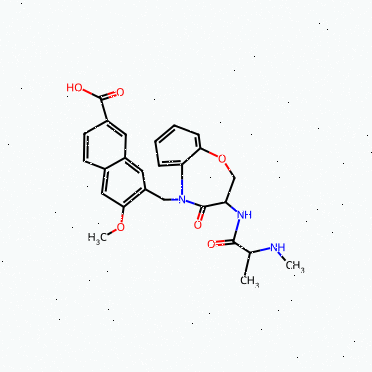 CNC(C)C(=O)NC1COc2ccccc2N(Cc2cc3cc(C(=O)O)ccc3cc2OC)C1=O